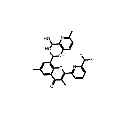 Cc1cc(C(C)Nc2ccc(C)nc2C(O)O)c2oc(-c3cccc(C(F)F)n3)c(C)c(=O)c2c1